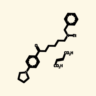 CCN(CCCCCC(=O)c1ccc(N2CCCC2)cc1)Cc1ccccc1.O=C(O)C=CC(=O)O